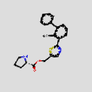 Cc1c(-c2ccccc2)cccc1-c1ncc(COC(=O)[C@@H]2CCCN2)s1